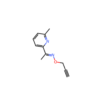 C#CCON=C(C)c1cccc(C)n1